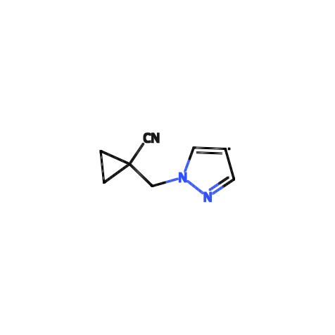 N#CC1(Cn2c[c]cn2)CC1